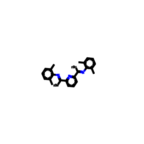 CCCC/C(=N\c1c(C)cccc1C)c1cccc(/C(CCCC)=N/c2c(C)cccc2C)n1